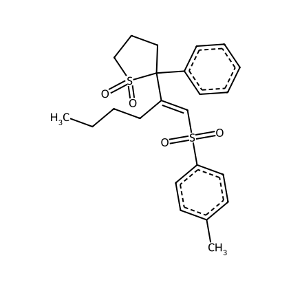 CCCC/C(=C\S(=O)(=O)c1ccc(C)cc1)C1(c2ccccc2)CCCS1(=O)=O